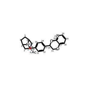 CC(=O)N1CC2CCC(C1)N2Cc1ccc(C2COc3cccnc3O2)cc1